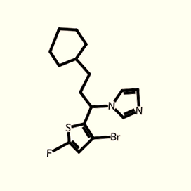 Fc1cc(Br)c(C(CCC2CCCCC2)n2ccnc2)s1